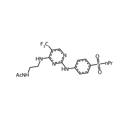 CCCS(=O)(=O)c1ccc(Nc2ncc(C(F)(F)F)c(NCCNC(C)=O)n2)cc1